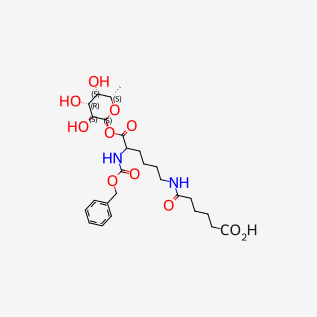 C[C@@H]1O[C@@H](OC(=O)C(CCCCNC(=O)CCCCC(=O)O)NC(=O)OCc2ccccc2)[C@@H](O)[C@H](O)[C@@H]1O